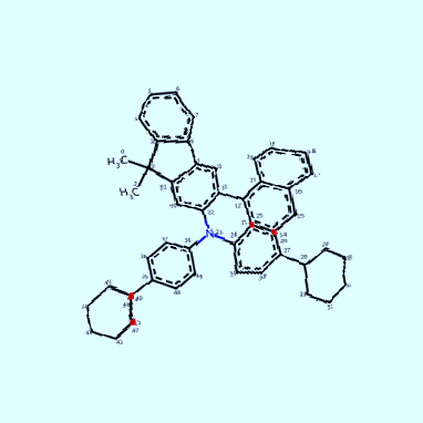 CC1(C)c2ccccc2-c2cc(-c3cccc4ccccc34)c(N(c3ccc(C4CCCCC4)cc3)c3ccc(C4CC5CCC4CC5)cc3)cc21